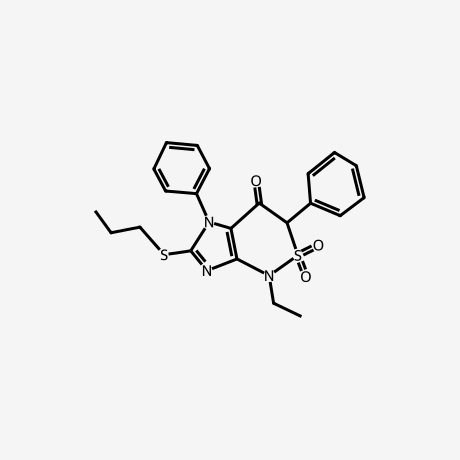 CCCSc1nc2c(n1-c1ccccc1)C(=O)C(c1ccccc1)S(=O)(=O)N2CC